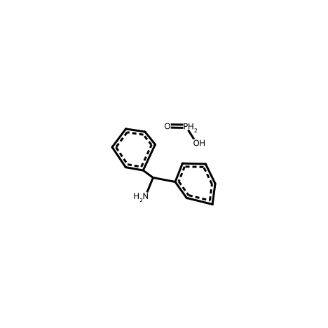 NC(c1ccccc1)c1ccccc1.O=[PH2]O